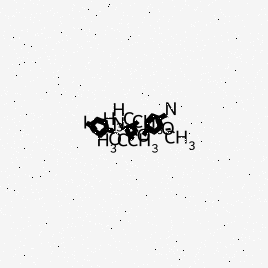 COc1cc(OC2C(C)(C)C(NC(=O)c3ccc(I)cc3)C2(C)C)ccc1C#N